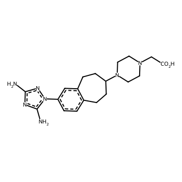 Nc1nc(N)n(-c2ccc3c(c2)CCC(N2CCN(CC(=O)O)CC2)CC3)n1